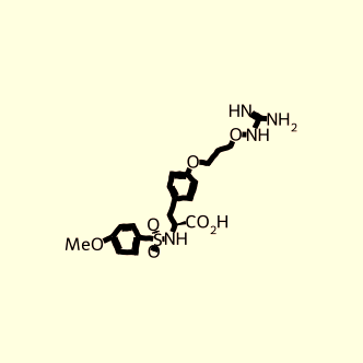 COc1ccc(S(=O)(=O)N[C@@H](Cc2ccc(OCCCONC(=N)N)cc2)C(=O)O)cc1